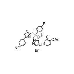 CC(=O)Oc1ccc(C[n+]2cnn(CC(O)(c3ccc(F)cc3F)C(C)c3nc(-c4ccc(C#N)cc4)cs3)c2)cc1Cl.[Br-]